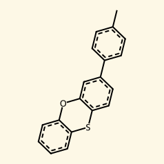 Cc1ccc(-c2ccc3c(c2)Oc2ccccc2S3)cc1